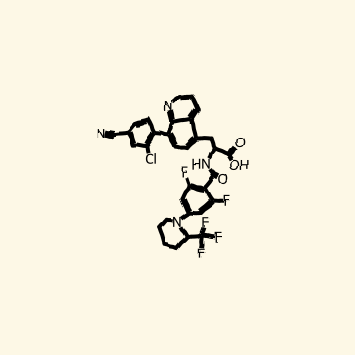 N#Cc1ccc(-c2ccc(CC(NC(=O)c3c(F)cc(N4CCCCC4C(F)(F)F)cc3F)C(=O)O)c3cccnc23)c(Cl)c1